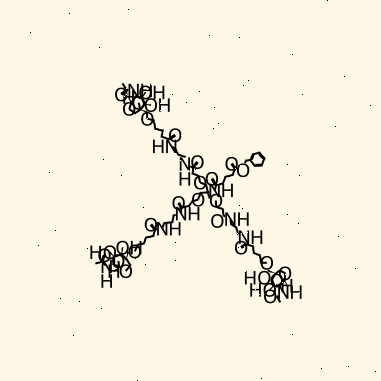 CC(=O)N[C@H]1[C@H]2OC[C@](COCCCCC(=O)NCCCNC(=O)CCOCC(COCCC(=O)NCCCNC(=O)CCCCOC[C@@]34CO[C@@H](O3)[C@H](NC(C)=O)[C@@H](O)[C@H]4O)(COCCC(=O)NCCCNC(=O)CCCCOC[C@@]34CO[C@@H](O3)[C@H](NC(C)=O)[C@@H](O)[C@H]4O)NC(=O)CCCC(=O)OCc3ccccc3)(O2)[C@H](O)[C@@H]1O